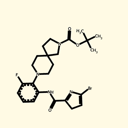 CC(C)(C)OC(=O)N1CCC2(CCN(c3c(F)cccc3NC(=O)C3=NC(Br)=CC3)CC2)C1